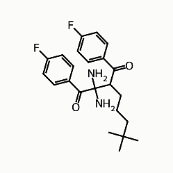 CC(C)(C)CCCC(C(=O)c1ccc(F)cc1)C(N)(N)C(=O)c1ccc(F)cc1